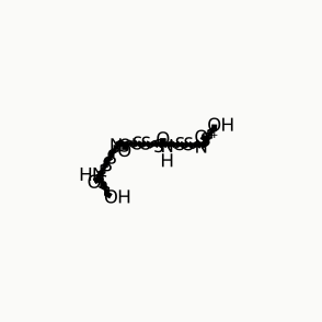 O=C(NCCSCSCC/N=C\[S+]([O-])CCSCSCCSC(=O)NCCSCSCC/N=C\[S+]([O-])CCCO)SCCCO